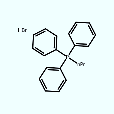 Br.CCC[P](c1ccccc1)(c1ccccc1)c1ccccc1